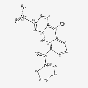 O=C(c1cccc2c(Cl)c3ccc([N+](=O)[O-])cc3nc12)N1CCCCC1